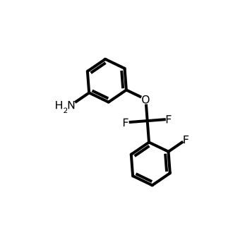 Nc1cccc(OC(F)(F)c2ccccc2F)c1